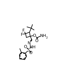 Cc1ccccc1S(=O)(=O)NN=CC1(OC(N)=O)CC(F)(F)C1C(C)(C)C